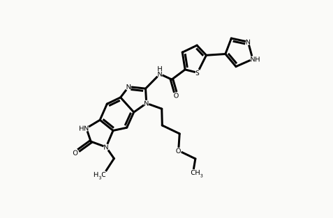 CCOCCCn1c(NC(=O)c2ccc(-c3cn[nH]c3)s2)nc2cc3[nH]c(=O)n(CC)c3cc21